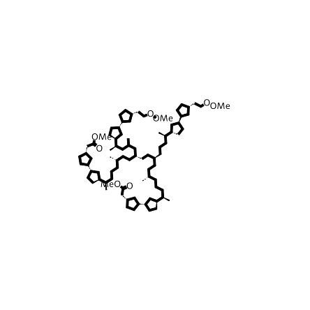 COOCC[C@H]1CCC([C@H]2CC[C@H]([C@H](C)CCC[C@@H](CC[C@@H](C)CCC[C@@H](C)[C@H]3CC[C@H](C4CC[C@H](CC(=O)OC)C4)C3)CC[C@H](CC[C@@H](C)CCC[C@@H](C)[C@H]3CC[C@H](C4CC[C@H](CC(=O)OC)C4)C3)CC(C)C[C@@H](C)[C@H]3CC[C@H](C4CC[C@H](CCOOC)C4)C3)C2)C1